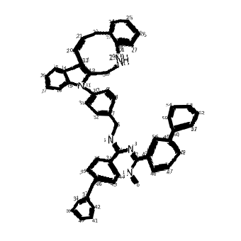 C=N/C(=N\C(=N/Cc1ccc(-n2c3c(c4ccccc42)/C=C\Cc2ccccc2NC3)cc1)c1ccc(-c2ccccc2)cc1)c1cccc(-c2ccccc2)c1